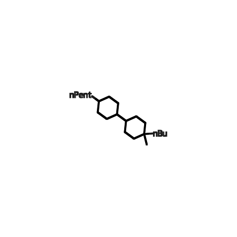 CCCCCC1CCC(C2CCC(C)(CCCC)CC2)CC1